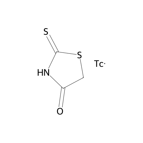 O=C1CSC(=S)N1.[Tc]